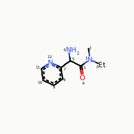 CCN(C)C(=O)C(N)c1ccccn1